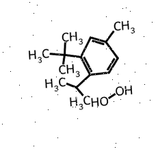 Cc1ccc(C(C)C)c(C(C)(C)C)c1.OO